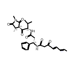 C/C=C/C=C/C(=O)CC(=O)N[C@@H](CC(=O)N[C@H](C(=O)[C@@H]1C(=O)N(C)C(=O)[C@H]1C)C(C)C)c1ccccc1